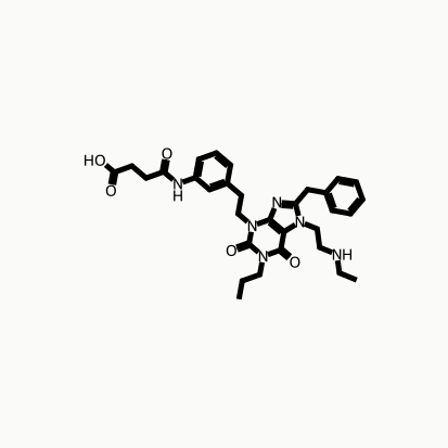 CCCn1c(=O)c2c(nc(Cc3ccccc3)n2CCNCC)n(CCc2cccc(NC(=O)CCC(=O)O)c2)c1=O